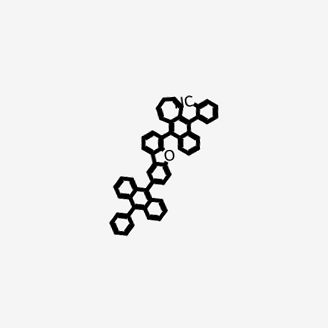 N#Cc1ccccc1-c1c2c(c(-c3cccc4c3oc3ccc(-c5c6ccccc6c(-c6ccccc6)c6ccccc56)cc34)c3ccccc13)C=CCC=C2